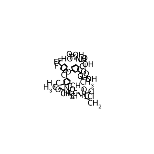 C=CCN(CC=C)C(=O)C(Cl)Cl.CCc1cccc(C)c1N(C(=O)CCl)C(C)COC.C[C@H](OC(=O)c1cc(Oc2ccc(C(F)(F)F)cc2Cl)ccc1Cl)C(=O)O.O=C(O)CNCP(=O)(O)O